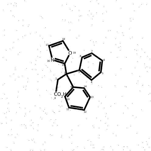 O=C(O)CC(c1ccccc1)(c1ccccc1)c1ncco1